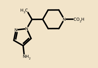 CC(C1CCN(C(=O)O)CC1)n1cc(N)cn1